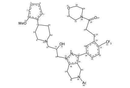 COc1ccccc1C1CCN(CC(O)Cn2nc(-c3ccc(C(F)(F)F)c(SCC(=O)N4CCOCC4)c3)c3c2CCN(C(C)=O)C3)CC1